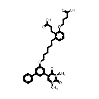 Cn1cc(-c2cc(OCCCCCCc3cccc(OCCCC(=O)O)c3CCC(=O)O)cc(-c3ccccc3)c2)c(=O)n(C)c1=O